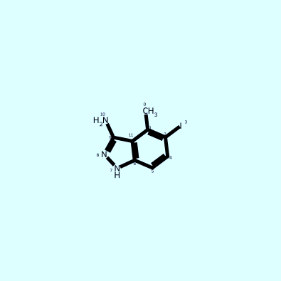 Cc1c(I)ccc2[nH]nc(N)c12